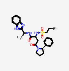 CC(C)CCS(=O)(=O)NC(CC(=O)N1CCC[C@@H]1c1ccccc1)C(=O)NC(C)c1nc2ccccc2[nH]1